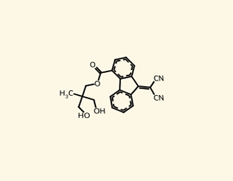 CC(CO)(CO)COC(=O)c1cccc2c1-c1ccccc1C2=C(C#N)C#N